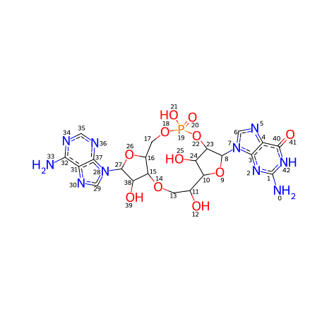 Nc1nc2c(ncn2C2OC3C(O)COC4C(COP(=O)(O)OC2C3O)OC(n2cnc3c(N)ncnc32)C4O)c(=O)[nH]1